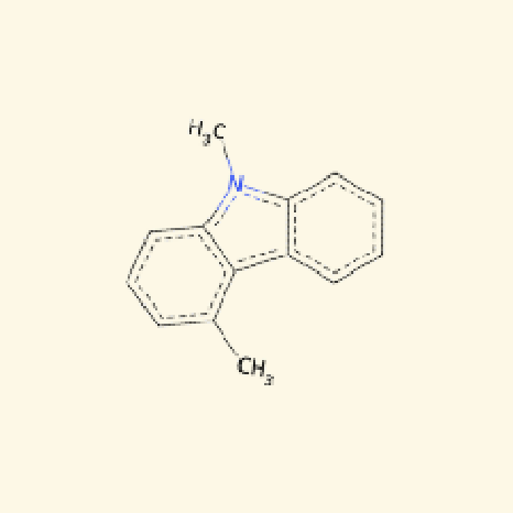 Cc1cccc2c1c1ccccc1n2C